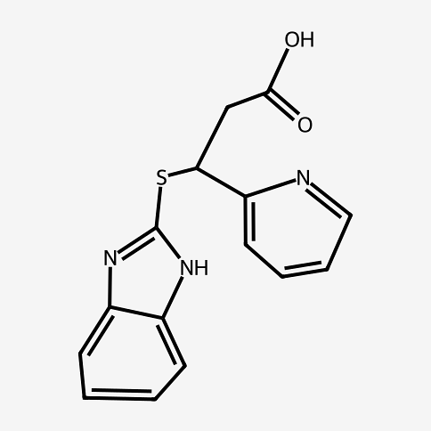 O=C(O)CC(Sc1nc2ccccc2[nH]1)c1ccccn1